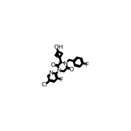 O=C1[C@@H](C23CC(O)(C2)C3)N(Cc2ccc(F)cc2)C(=O)CN1c1ncc(Cl)cc1F